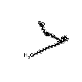 CCCCCCCCCCCCCCCCCCOCC(COCCOCCN1C=C[N+](=CCCCCC(=O)[O-])C1)Oc1ncccn1